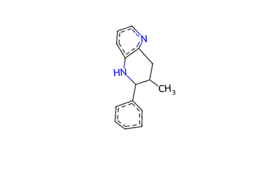 CC1Cc2ncccc2NC1c1ccccc1